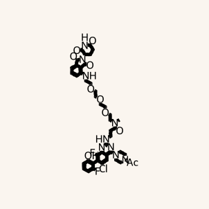 CC(=O)N1CCN(c2nc(NCCC(=O)N(C)CCOCCOCCOCCNc3cccc4c3C(=O)N(C3CCC(=O)NC3=O)C4=O)nc3c(F)c(-c4c(O)cccc4F)c(Cl)cc23)CC1